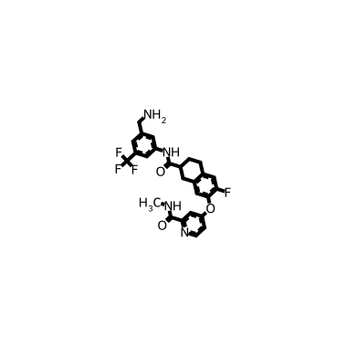 CNC(=O)c1cc(Oc2cc3c(cc2F)CCC(C(=O)Nc2cc(CN)cc(C(F)(F)F)c2)C3)ccn1